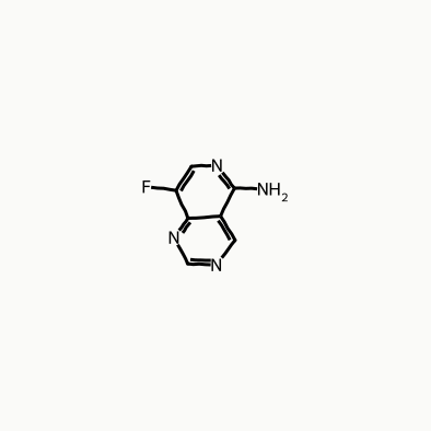 Nc1ncc(F)c2ncncc12